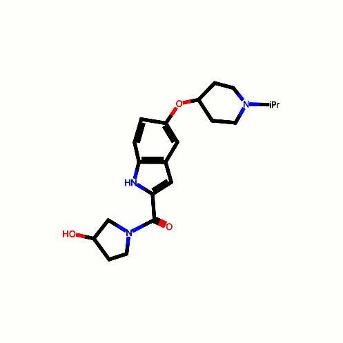 CC(C)N1CCC(Oc2ccc3[nH]c(C(=O)N4CCC(O)C4)cc3c2)CC1